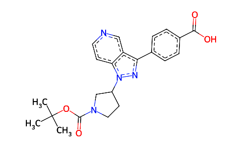 CC(C)(C)OC(=O)N1CCC(n2nc(-c3ccc(C(=O)O)cc3)c3cnccc32)C1